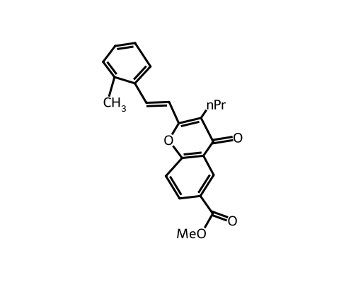 CCCc1c(/C=C/c2ccccc2C)oc2ccc(C(=O)OC)cc2c1=O